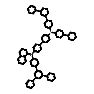 c1ccc(-c2ccc(N(c3ccc(-c4ccc(N(c5ccc(-c6cc(-c7ccccc7)cc(-c7ccccc7)c6)cc5)c5cccc6ccccc56)cc4)cc3)c3ccc(-c4cccc(-c5ccccc5)c4)cc3)cc2)cc1